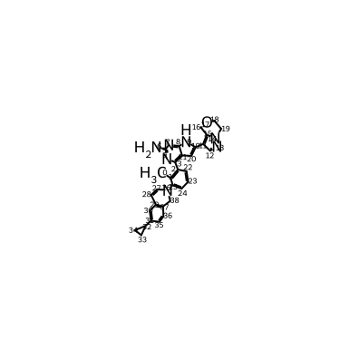 Cc1c(-c2nc(N)nc3[nH]c(-c4cnn5c4COCC5)cc23)cccc1N1C=Cc2cc(C3CC3)ccc2C1